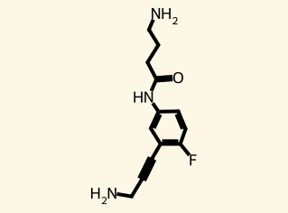 NCC#Cc1cc(NC(=O)CCCN)ccc1F